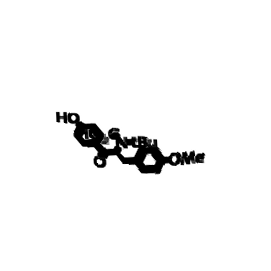 COc1ccc(C[C@@H](C(=O)c2ccc(O)cc2)N(C(=O)O)C(C)(C)C)cc1